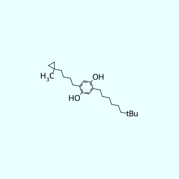 CC(C)(C)CCCCCCc1cc(O)c(CCCCC2(C)CC2)cc1O